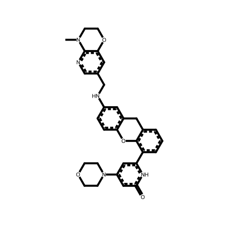 CN1CCOc2cc(CNc3ccc4c(c3)Cc3cccc(-c5cc(N6CCOCC6)cc(=O)[nH]5)c3O4)cnc21